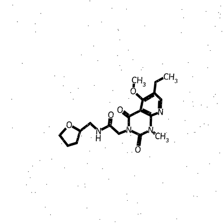 CCc1cnc2c(c1OC)c(=O)n(CC(=O)NCC1CCCO1)c(=O)n2C